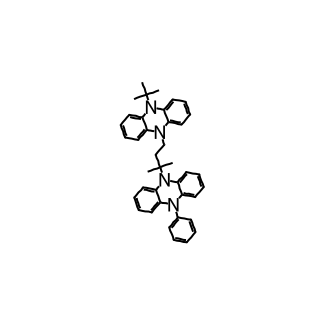 CC(C)(C)N1c2ccccc2N(CCC(C)(C)N2c3ccccc3N(c3ccccc3)c3ccccc32)c2ccccc21